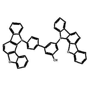 N#Cc1cc(-c2ccc(-n3c4ccccc4c4ccc5oc6ccccc6c5c43)cc2)cc(-n2c3ccccc3c3ccc4c5ccccc5oc4c32)c1